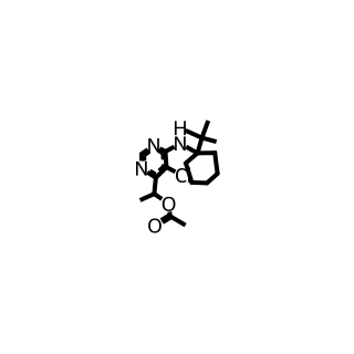 CC(=O)OC(C)c1ncnc(NC2(C(C)(C)C)CCCCC2)c1Cl